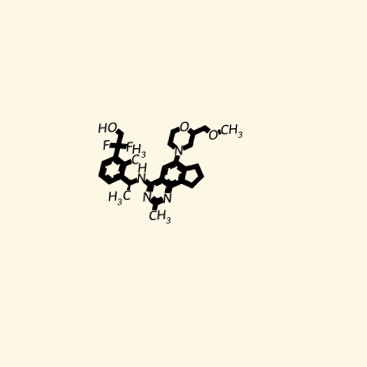 COCC1CN(c2cc3c(N[C@@H](C)c4cccc(C(F)(F)CO)c4C)nc(C)nc3c3c2CCC3)CCO1